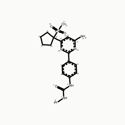 CC(C)NC(=O)Nc1ccc(-c2nc(N)cc(C3(S(C)(=O)=O)CCCC3)n2)cc1